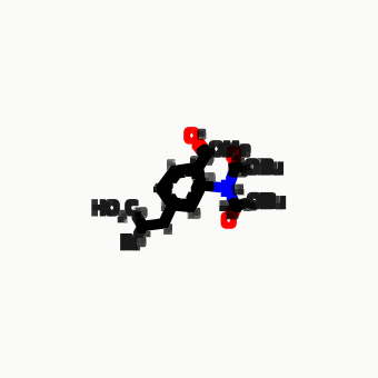 CCC(Cc1ccc(C(=O)OC)c(N(C(=O)OCC(C)C)C(=O)OCC(C)C)c1)C(=O)O